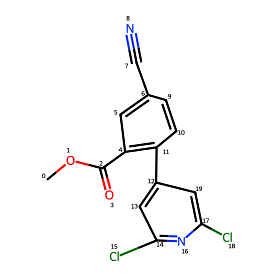 COC(=O)c1cc(C#N)ccc1-c1cc(Cl)nc(Cl)c1